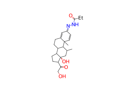 CCC(=O)N/N=C1\C=CC2(C)C(=C1)CCC1C2C(C)C[C@]2(O)C(C(=O)CO)CCC12